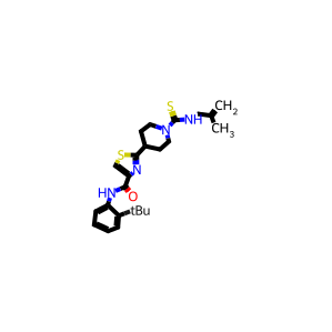 C=C(C)CNC(=S)N1CCC(c2nc(C(=O)Nc3ccccc3C(C)(C)C)cs2)CC1